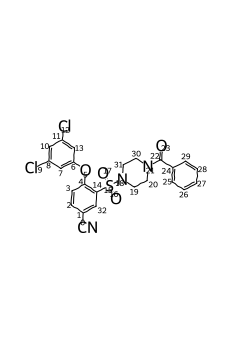 N#Cc1ccc(Oc2cc(Cl)cc(Cl)c2)c(S(=O)(=O)N2CCN(C(=O)c3ccccc3)CC2)c1